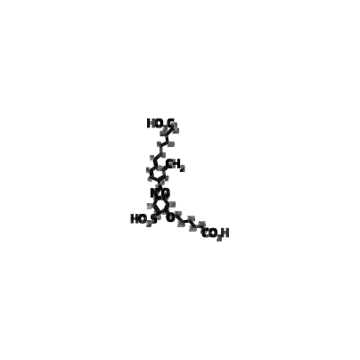 C=C\C=C(/C=C\C=C\CCCCCC(=O)O)c1nc2cc(S(=O)(=O)O)c(OCCCCCC(=O)O)cc2o1